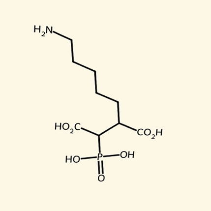 NCCCCCC(C(=O)O)C(C(=O)O)P(=O)(O)O